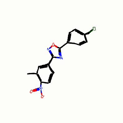 Cc1cc(-c2noc(-c3ccc(Cl)cc3)n2)ccc1[N+](=O)[O-]